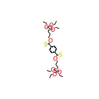 CCO[Si](CCCOC(=S)c1ccc(C(=S)OCCC[Si](OCC)(OCC)OCC)cc1)(OCC)OCC